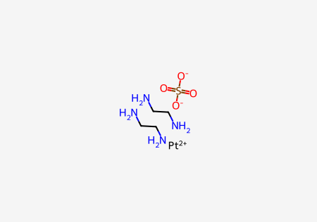 NCCN.NCCN.O=S(=O)([O-])[O-].[Pt+2]